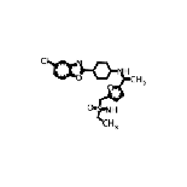 C=C(NC1CCC(c2nc3cc(Cl)ccc3o2)CC1)c1ccc(CS(=N)(=O)CC)o1